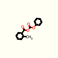 Cc1ccccc1C(=O)OC(=O)Oc1ccccc1